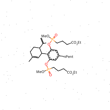 C=C(C)C1CCC(C)=CC1c1c(OP(=O)(CCCC(=O)OCC)OC)cc(CCCCC)cc1OP(=O)(CCCC(=O)OCC)OC